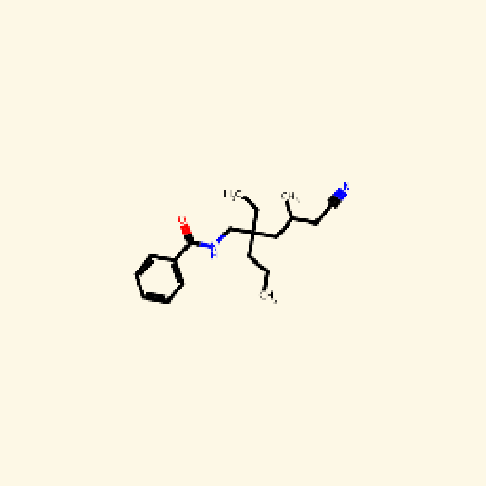 CCCC(CC)(CNC(=O)c1ccccc1)CC(C)CC#N